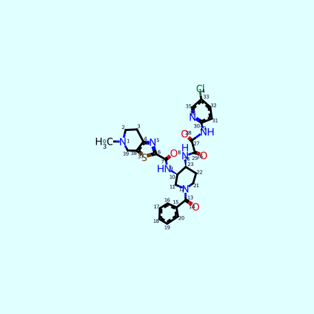 CN1CCc2nc(C(=O)N[C@@H]3CN(C(=O)c4ccccc4)CC[C@@H]3NC(=O)C(=O)Nc3ccc(Cl)cn3)sc2C1